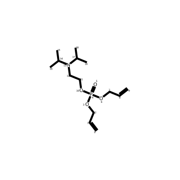 C=CCOP(=O)(OCC=C)OCCN(C(C)C)C(C)C